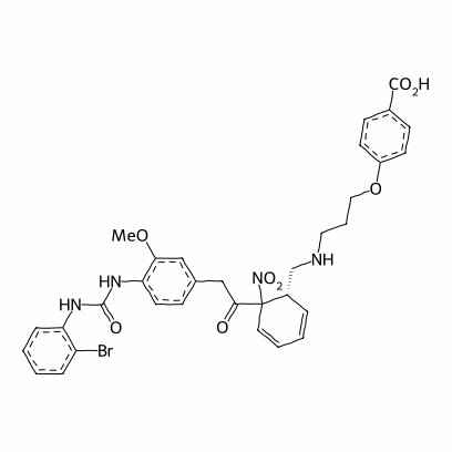 COc1cc(CC(=O)C2([N+](=O)[O-])C=CC=C[C@H]2CNCCCOc2ccc(C(=O)O)cc2)ccc1NC(=O)Nc1ccccc1Br